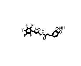 O=C(CCc1ccc2c(c1)ONO2)NCc1cc(-c2c(F)c(F)c(F)c(F)c2F)no1